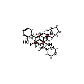 Nc1nnc(-c2ccccc2O)cc1N1CC2CCC(C1)N2c1ccc(C(F)(F)F)c(C(=O)N2CCNCC2)c1